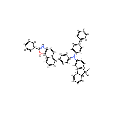 CC1(C)c2ccc(N(c3ccc(-c4ccccc4)cc3)c3ccc(-c4cccc5c4ccc4nc(-c6ccccc6)oc45)cc3)cc2C2C=CC=CC21